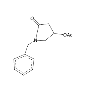 CC(=O)OC1CC(=O)N(Cc2ccccc2)C1